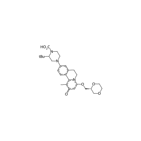 Cc1c2n(c(OC[C@@H]3COCCO3)cc1=O)CCc1cc(N3CCN(C(=O)O)C(C(C)(C)C)C3)ccc1-2